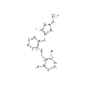 Cc1cc(OC(=O)O)nn1Cc1ccccc1OCc1c(F)cccc1F